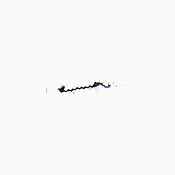 CCCCCCCCC/C=C\CC[C@@H](O)[C@H]1CC[C@H]([C@H](O)CCCCCCCCC[C@@H](O)CCC2=C[C@H](C)OC2=O)O1